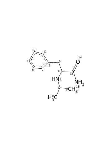 CC(C)NC(Cc1ccccc1)C(N)=O